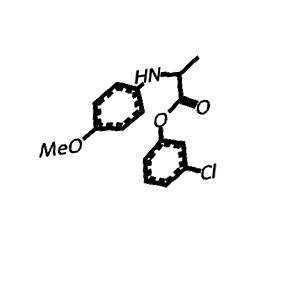 COc1ccc(NC(C)C(=O)Oc2cccc(Cl)c2)cc1